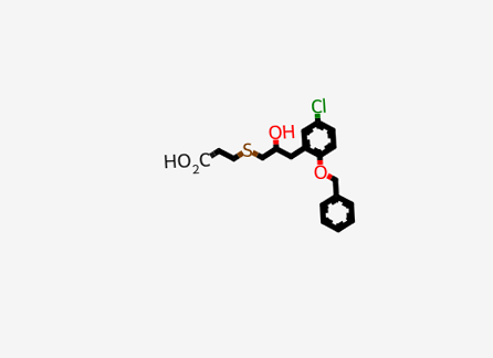 O=C(O)CCSCC(O)Cc1cc(Cl)ccc1OCc1ccccc1